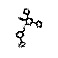 N#Cc1c(-c2ccoc2)cc(-c2cccs2)nc1OCc1cccc(-c2nn[nH]n2)c1